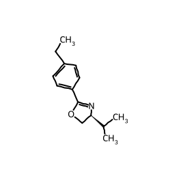 CCc1ccc(C2=N[C@@H](C(C)C)CO2)cc1